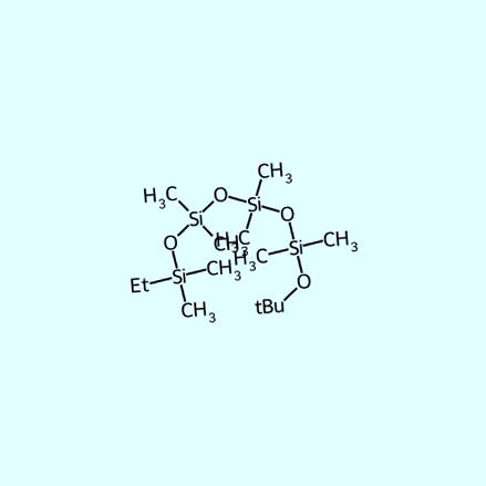 CC[Si](C)(C)O[Si](C)(C)O[Si](C)(C)O[Si](C)(C)OC(C)(C)C